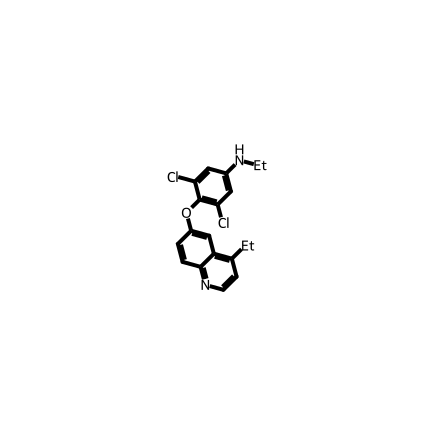 CCNc1cc(Cl)c(Oc2ccc3nccc(CC)c3c2)c(Cl)c1